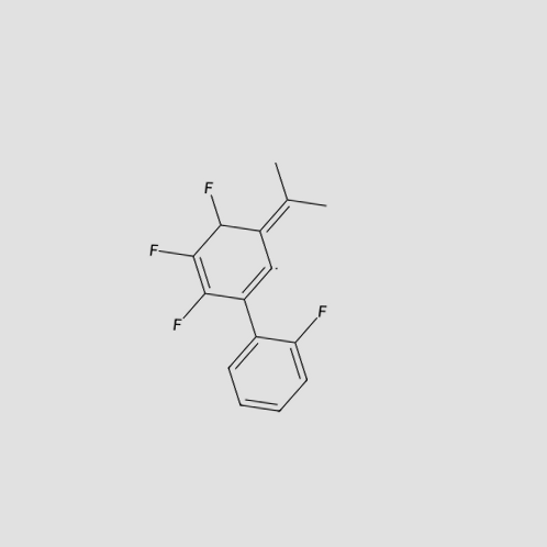 CC(C)=C1[C]=C(c2ccccc2F)C(F)=C(F)C1F